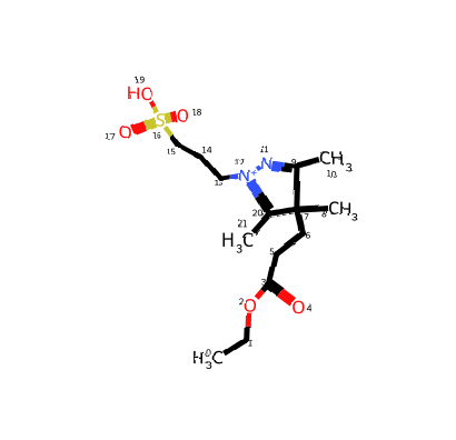 CCOC(=O)CCC1(C)C(C)=N[N+](CCCS(=O)(=O)O)=C1C